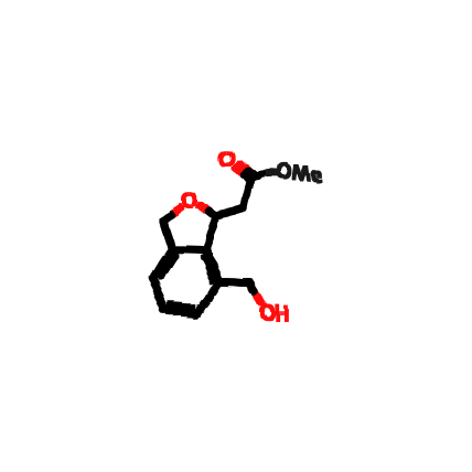 COC(=O)CC1OCc2cccc(CO)c21